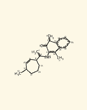 C=C1C(=O)C(NC(=C)C2C=CC(C)CCC2)=C(C)c2ccccc21